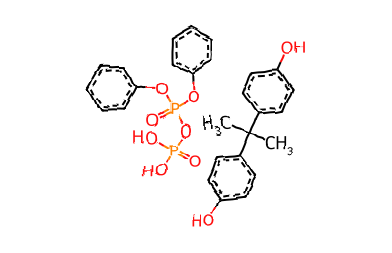 CC(C)(c1ccc(O)cc1)c1ccc(O)cc1.O=P(O)(O)OP(=O)(Oc1ccccc1)Oc1ccccc1